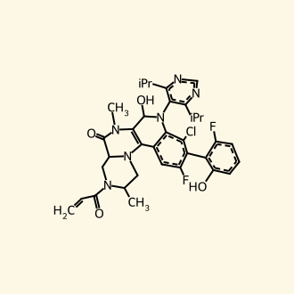 C=CC(=O)N1CC2C(=O)N(C)C3=C(c4cc(F)c(-c5c(O)cccc5F)c(Cl)c4N(c4c(C(C)C)ncnc4C(C)C)C3O)N2CC1C